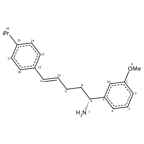 COc1cccc([C@H](N)CCC=Cc2ccc(C(C)C)cc2)c1